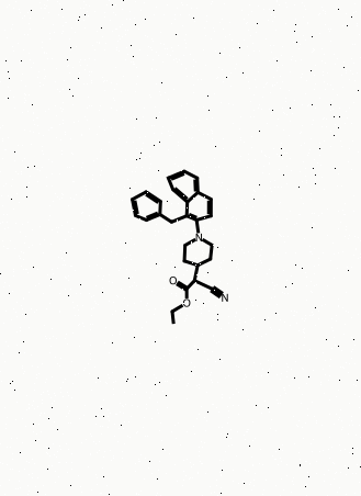 CCOC(=O)C(C#N)C1CCN(c2ccc3ccccc3c2Cc2ccccc2)CC1